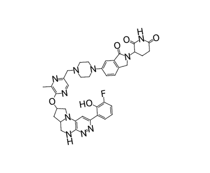 Cc1nc(CN2CCN(c3ccc4c(c3)C(=O)N(C3CCC(=O)NC3=O)C4)CC2)cnc1OC1CC2CNc3nnc(-c4cccc(F)c4O)cc3N2C1